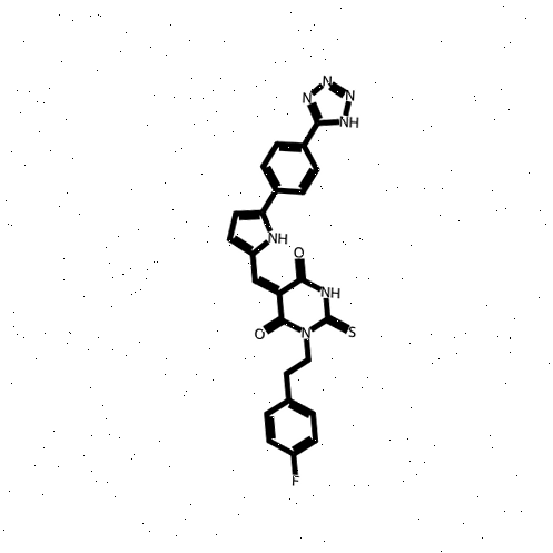 O=C1NC(=S)N(CCc2ccc(F)cc2)C(=O)C1=Cc1ccc(-c2ccc(-c3nnn[nH]3)cc2)[nH]1